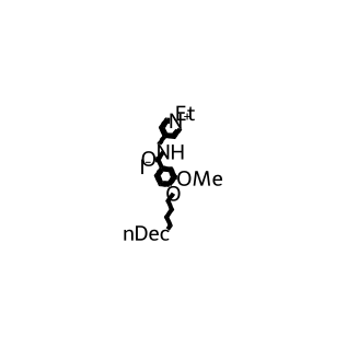 CCCCCCCCCCCCCCOc1ccc(C(=O)NCc2cc[n+](CC)cc2)cc1OC.[I-]